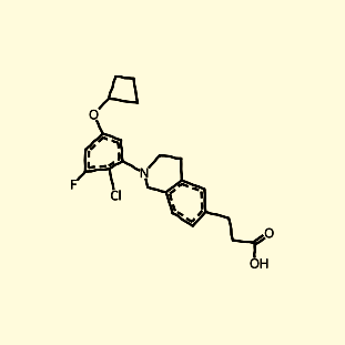 O=C(O)CCc1ccc2c(c1)CCN(c1cc(OC3CCC3)cc(F)c1Cl)C2